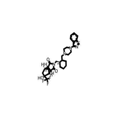 O=C1[C@H]2[C@H]3C[C@@H]([C@H]2C(=O)N1C[C@@H]1CCCCC1CN1CCN(c2nsc4ccccc24)CC1)[C@](O)(C(F)(F)F)C3